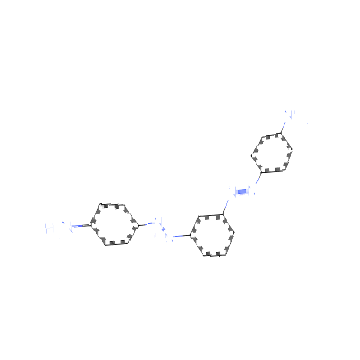 Nc1ccc(/N=N/c2cccc(/N=N/c3ccc(N)cc3)c2)cc1